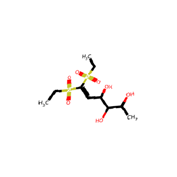 CCS(=O)(=O)C(=CC(O)C(O)C(C)O)S(=O)(=O)CC